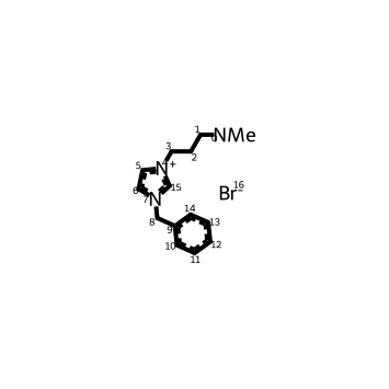 CNCCC[n+]1ccn(Cc2ccccc2)c1.[Br-]